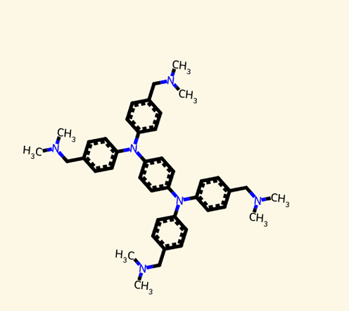 CN(C)Cc1ccc(N(c2ccc(CN(C)C)cc2)c2ccc(N(c3ccc(CN(C)C)cc3)c3ccc(CN(C)C)cc3)cc2)cc1